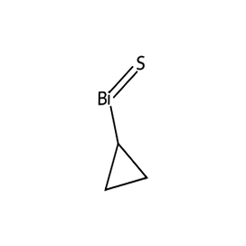 [S]=[Bi][CH]1CC1